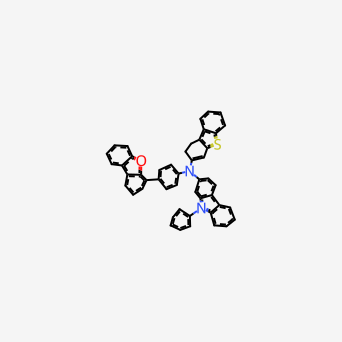 C1=C(N(c2ccc(-c3cccc4c3oc3ccccc34)cc2)c2ccc3c4ccccc4n(-c4ccccc4)c3c2)CCc2c1sc1ccccc21